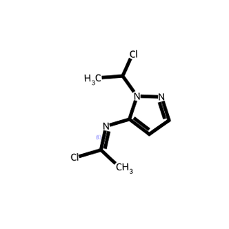 C/C(Cl)=N\c1ccnn1C(C)Cl